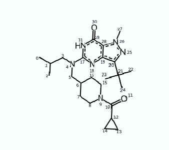 CC(C)CN(CC1CCN(C(=O)C2CC2)CC1)c1nc2c(C(C)(C)C)nn(C)c2c(=O)[nH]1